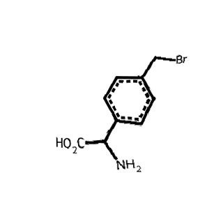 NC(C(=O)O)c1ccc(CBr)cc1